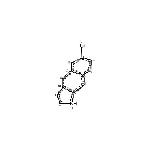 Brc1ccc2cc3[nH]ccc3cc2c1